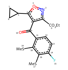 CCOC(=O)c1noc(C2CC2)c1C(=O)c1ccc(F)c(SC)c1SC